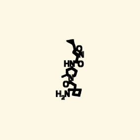 C[C@H]1CC(NC(=O)c2cc(C3CC3)on2)CCN1C(=O)CC1(CN)CCC1